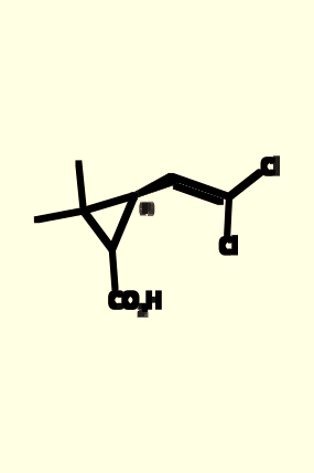 CC1(C)C(C(=O)O)[C@@H]1C=C(Cl)Cl